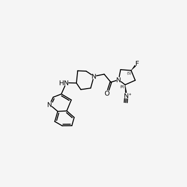 C#[N+][C@@H]1C[C@H](F)CN1C(=O)CN1CCC(Nc2cnc3ccccc3c2)CC1